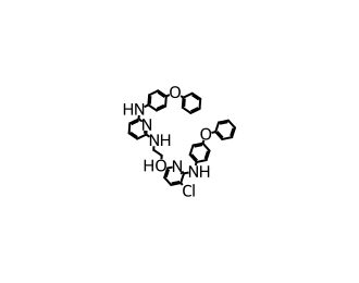 Clc1cccnc1Nc1ccc(Oc2ccccc2)cc1.OCCNc1cccc(Nc2ccc(Oc3ccccc3)cc2)n1